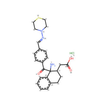 Cl.NC1(C(=O)c2ccc(C=NN3CCSCC3)cc2)c2ccccc2CCC1CC(=O)O